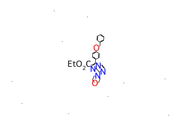 CCOC(=O)c1nc2c(N3CCOCC3)nccn2c1-c1ccc(OCc2ccccc2)cc1